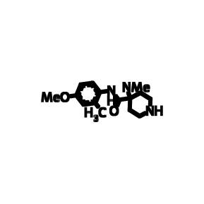 CNC1(C(=O)Nc2ccc(OC)cc2C)CCNCC1